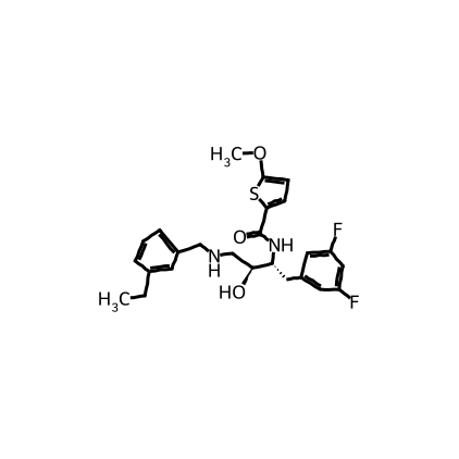 CCc1cccc(CNC[C@H](O)[C@@H](Cc2cc(F)cc(F)c2)NC(=O)c2ccc(OC)s2)c1